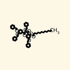 CCCCCCCCCCCC(=O)Oc1cc(OCc2ccccc2)cc2oc(-c3ccc(OCc4ccccc4)c(OCc4ccccc4)c3)c(OCc3ccccc3)c(=O)c12